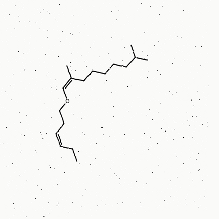 CC/C=C\CCOC=C(C)CCCCCC(C)C